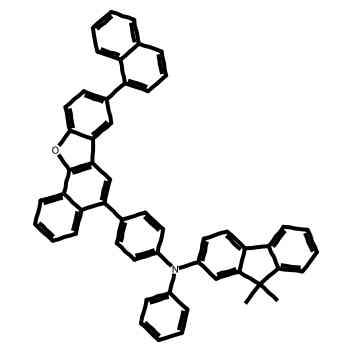 CC1(C)c2ccccc2-c2ccc(N(c3ccccc3)c3ccc(-c4cc5c6cc(-c7cccc8ccccc78)ccc6oc5c5ccccc45)cc3)cc21